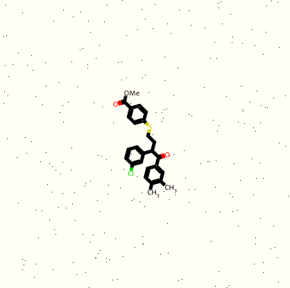 COC(=O)c1ccc(SCCC(C(=O)c2ccc(C)c(C)c2)c2cccc(Cl)c2)cc1